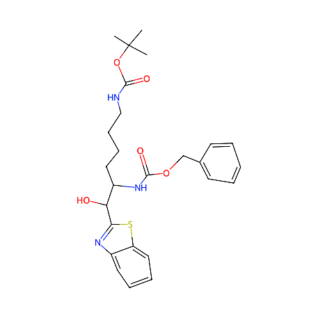 CC(C)(C)OC(=O)NCCCCC(NC(=O)OCc1ccccc1)C(O)c1nc2ccccc2s1